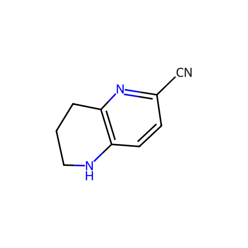 N#Cc1ccc2c(n1)CCCN2